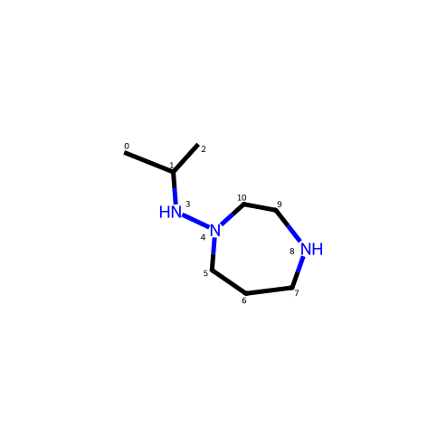 CC(C)NN1CCCNCC1